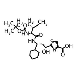 CC[C@@H](C)[C@H](NC(=O)OC(C)(C)C)C(=O)N[C@H](C[C@@H](O)c1nc(C(=O)O)cs1)C1CCCCC1